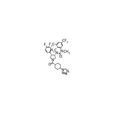 CN(C(=O)N(C)[C@@H]1CN(C(=O)C2CCC(n3cnnn3)CC2)C[C@H]1c1ccc(F)cc1)c1cc(C(F)(F)F)cc(C(F)(F)F)c1